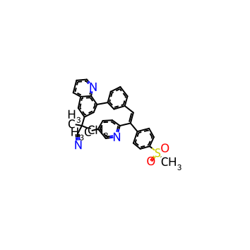 Cc1ccc(C(=Cc2cccc(-c3cc(C(C)(C)C#N)cc4cccnc34)c2)c2ccc(S(C)(=O)=O)cc2)nc1